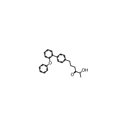 CC(O)C(=O)CCCc1ccc(-c2ccccc2Oc2ccccc2)cc1